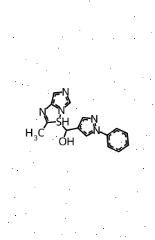 CC1=Nc2cncn2[SH]1C(O)c1cnn(-c2ccccc2)c1